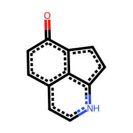 O=c1ccc2cc[nH]c3ccc1c23